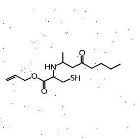 C=CCOC(=O)C(CS)NC(C)CC(=O)CCCC